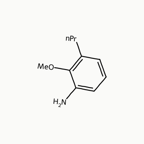 CCCc1cccc(N)c1OC